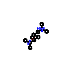 c1ccc(C2=NC(c3ccccc3)NC(c3ccc(-c4ccc5ccccc5c4-c4ccccc4-c4ccc(-c5cc(-c6ccccc6)nc(-c6ccccc6)n5)cc4)cc3)=N2)cc1